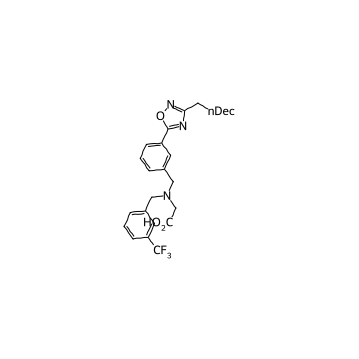 CCCCCCCCCCCc1noc(-c2cccc(CN(CC(=O)O)Cc3cccc(C(F)(F)F)c3)c2)n1